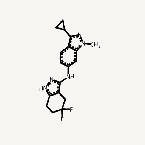 Cn1nc(C2CC2)c2ccc(Nc3n[nH]c4c3CC(F)(F)CC4)cc21